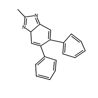 CC1=NC2C=C(c3ccccc3)C(c3ccccc3)=CC2=N1